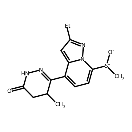 CCc1cc2c(C3=NNC(=O)CC3C)ccc([S+](C)[O-])n2n1